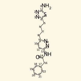 Nc1nnc(CCCCc2ccc(NC(=O)Cc3ccccc3)nn2)s1